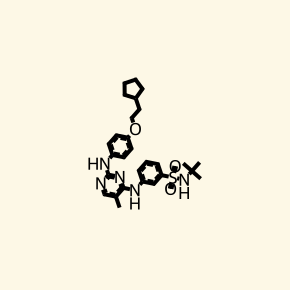 Cc1cnc(Nc2ccc(OCCC3CCCC3)cc2)nc1Nc1cccc(S(=O)(=O)NC(C)(C)C)c1